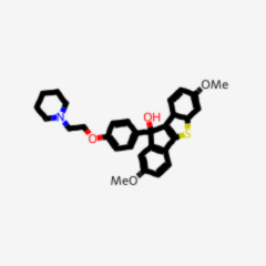 COC1=CC2SC3=C(C2C=C1)C(O)(c1ccc(OCCN2CCCCC2)cc1)c1cc(OC)ccc13